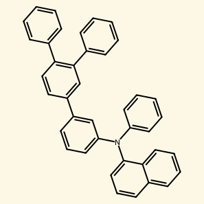 c1ccc(-c2ccc(-c3cccc(N(c4ccccc4)c4cccc5ccccc45)c3)cc2-c2ccccc2)cc1